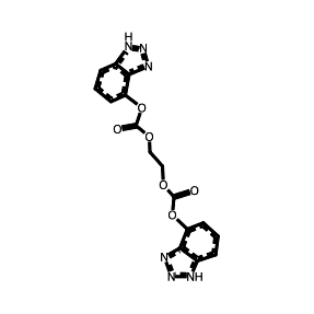 O=C(OCCOC(=O)Oc1cccc2[nH]nnc12)Oc1cccc2[nH]nnc12